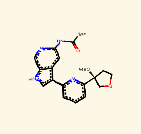 CNC(=O)Nc1cc2c(-c3cccc([C@]4(OC)CCOC4)n3)c[nH]c2cn1